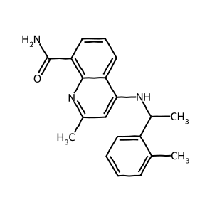 Cc1cc(NC(C)c2ccccc2C)c2cccc(C(N)=O)c2n1